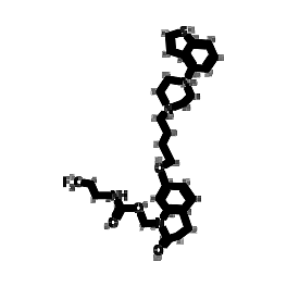 O=C(NCCC(F)(F)F)OCN1C(=O)CCc2ccc(OCCCCN3CCN(c4cccc5sccc45)CC3)cc21